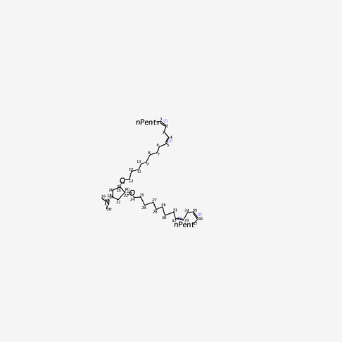 CCCCC/C=C\C/C=C\CCCCCCCCO[C@H]1C[C@@H](N(C)C)C[C@H]1OCCCCCCCC/C=C\C/C=C\CCCCC